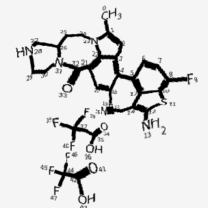 Cc1cc2c(-c3ccc(F)c4sc(N)c(C#N)c34)c(F)cc3c2n1CCC1CNCCN1C3=O.O=C(O)C(F)(F)F.O=C(O)C(F)(F)F